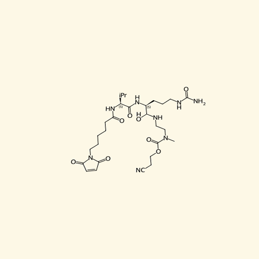 CC(C)[C@H](NC(=O)CCCCCN1C(=O)C=CC1=O)C(=O)N[C@@H](CCCNC(N)=O)C(O)NCCN(C)C(=O)OCCC#N